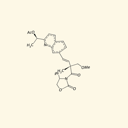 COC[C@@](C)(/C=C/c1ccc2ccc([C@@H](C)OC(C)=O)nc2c1)C(=O)N1C(=O)OCC1C(C)C